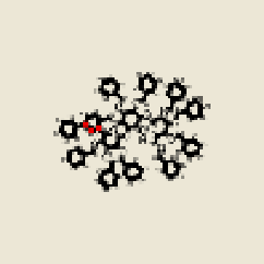 O[C@@H]1C(O[C@H]2OC(COCc3ccccc3)[C@H](OCc3ccccc3)[C@@H](OCc3ccccc3)C2OCc2ccccc2)C(OCc2ccccc2)[C@H](OCc2ccccc2)[C@@H](OCc2ccccc2)C1O[C@H]1OC(COCc2ccccc2)[C@@H](OCc2ccccc2)C(OCc2ccccc2)[C@H]1OCc1ccccc1